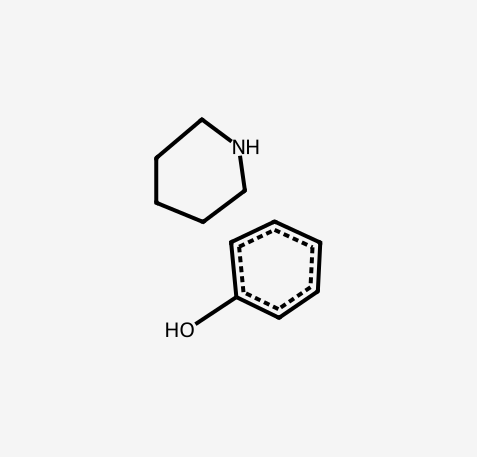 C1CCNCC1.Oc1ccccc1